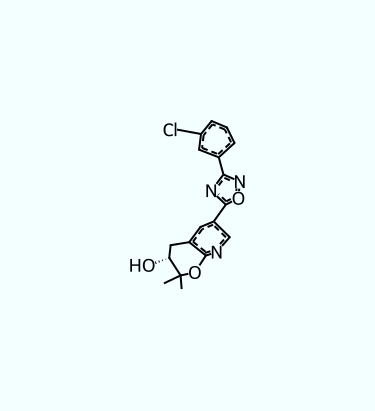 CC1(C)Oc2ncc(-c3nc(-c4cccc(Cl)c4)no3)cc2C[C@H]1O